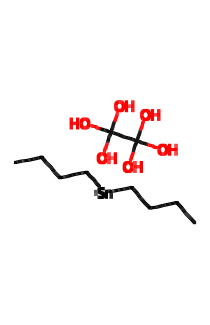 CCC[CH2][Sn][CH2]CCC.OC(O)(O)C(O)(O)O